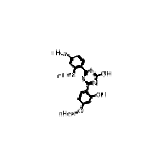 CCCCCCOc1ccc(-c2nc(O)nc(-c3ccc(CCCCCC)cc3CCCCCC)n2)c(O)c1